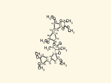 CCCC(C)(Oc1ccc(Cc2ccc(OC)c(OC)c2)cc1OC)C(=O)Oc1ccc(Cc2ccc(OC(C)C(=O)OC)c(OC)c2)cc1OC